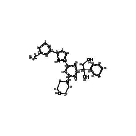 Cc1cccc(-c2ccn(-c3cc(N4CCOCC4)nc([C@](O)(CO)c4ccccc4)n3)n2)c1